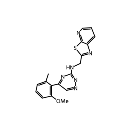 COc1cccc(C)c1-c1cnnc(NCc2nc3cccnc3s2)n1